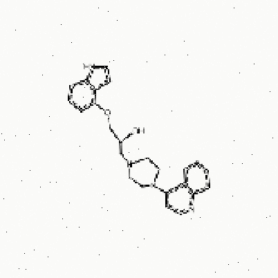 O[C@H](COc1cccc2[nH]ccc12)CN1CCN(c2ccnc3ccccc23)CC1